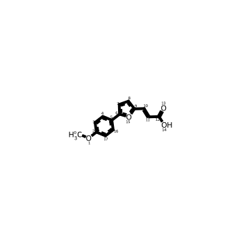 COc1ccc(-c2ccc(C=CC(=O)O)o2)cc1